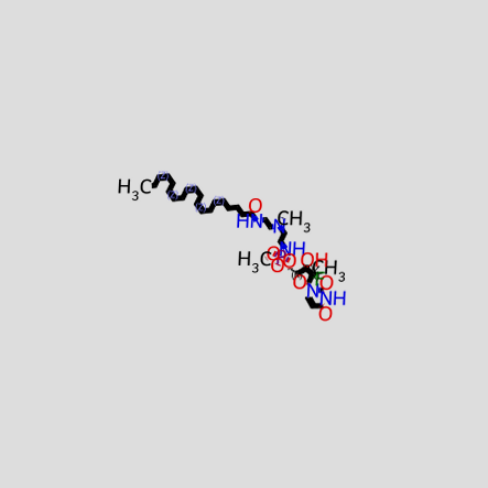 CC/C=C\C/C=C\C/C=C\C/C=C\C/C=C\CCCC(=O)NCCN(C)CCNP(=O)(OC)OC[C@H]1OC(n2ccc(=O)[nH]c2=O)[C@](C)(F)[C@@H]1O